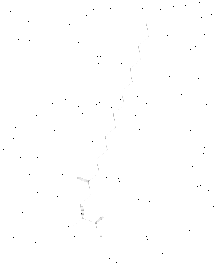 CCCCCCCCCCCCCCC(=O)CC=C(C)C(=O)O